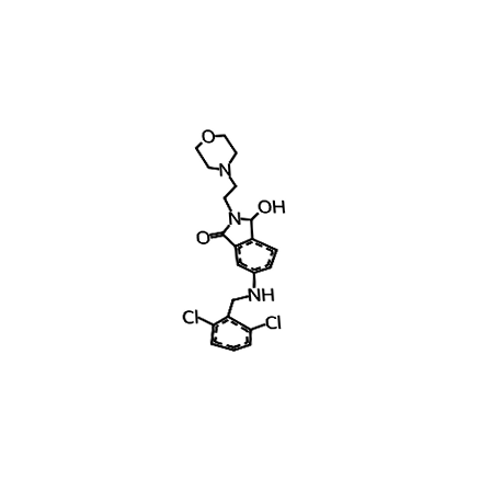 O=C1c2cc(NCc3c(Cl)cccc3Cl)ccc2C(O)N1CCN1CCOCC1